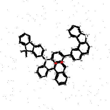 CC1(C)c2ccccc2-c2ccc(N(c3ccc(-c4ccc5ccc6oc7ccccc7c6c5c4)cc3)c3ccccc3-c3cccc4ccccc34)cc21